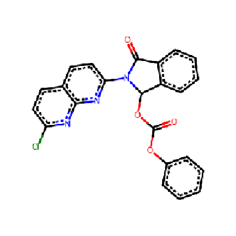 O=C(Oc1ccccc1)OC1c2ccccc2C(=O)N1c1ccc2ccc(Cl)nc2n1